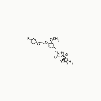 CCC(NS(=O)(=O)CC)C(=O)NCCc1ccc(OCCOc2ccc(F)cc2)c(OC)c1